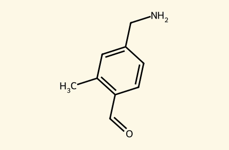 Cc1cc(CN)ccc1C=O